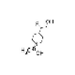 CB(O)N1CCC(C(F)CO)CC1